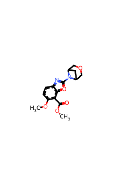 COC(=O)c1c(OC)ccc2nc(N3C4COCC3C4)oc12